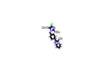 CCCCc1nc(Cl)c(C=O)n1Cc1ccc(-c2nc3ccccn3c2C#N)cc1